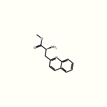 COC(=O)[C@@H](N)Cc1ccc2ccccc2n1